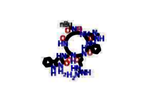 CCCCC(=O)N[C@H]1CCC(=O)NCC[C@@H](C(=O)N[C@@H](Cc2c[nH]c3ccccc23)C(N)=O)NC(=O)[C@H](CCCNC(=N)N)NC(=O)C(c2ccccc2)NC(=O)[C@H](Cc2c[nH]cn2)NC1=O